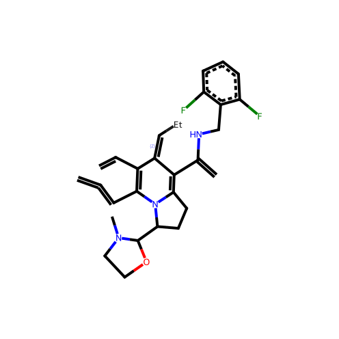 C=C=CC1=C(C=C)/C(=C/CC)C(C(=C)NCc2c(F)cccc2F)=C2CCC(C3OCCN3C)N12